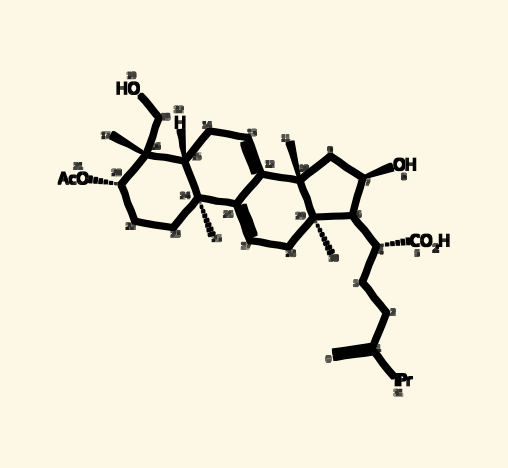 C=C(CC[C@@H](C(=O)O)C1[C@H](O)C[C@@]2(C)C3=CC[C@H]4[C@@](C)(CO)[C@@H](OC(C)=O)CC[C@]4(C)C3=CC[C@]12C)C(C)C